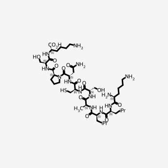 CC(C)C[C@H](NC(=O)[C@H](CC(C)C)NC(=O)[C@@H](N)CCCCN)C(=O)N[C@@H](C)C(=O)N[C@@H](CO)C(=O)N[C@@H](CS)C(=O)N[C@@H](CC(N)=O)C(=O)N1CCC[C@H]1C(=O)N[C@@H](CO)C(=O)N[C@@H](CCCCN)C(=O)O